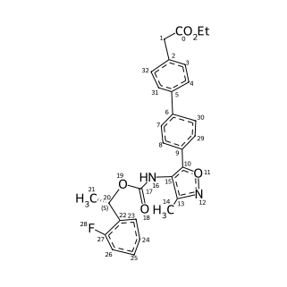 CCOC(=O)Cc1ccc(-c2ccc(-c3onc(C)c3NC(=O)O[C@@H](C)c3ccccc3F)cc2)cc1